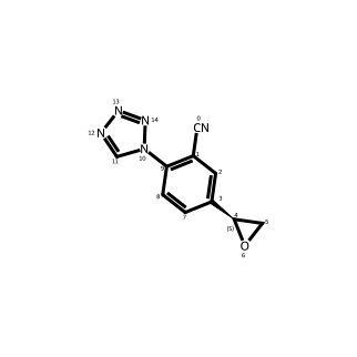 N#Cc1cc([C@H]2CO2)ccc1-n1cnnn1